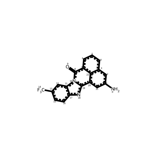 Nc1cc2cccc3c(=O)n4c5cc(C(F)(F)F)ccc5nc4c(c1)c23